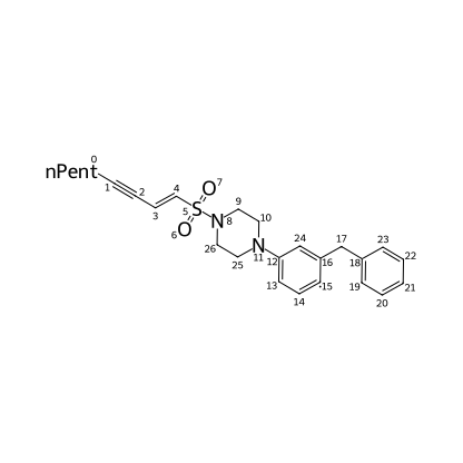 CCCCCC#C/C=C/S(=O)(=O)N1CCN(c2cc[c]c(Cc3ccccc3)c2)CC1